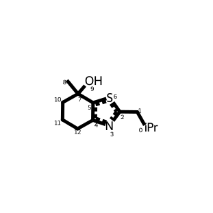 CC(C)Cc1nc2c(s1)C(C)(O)CCC2